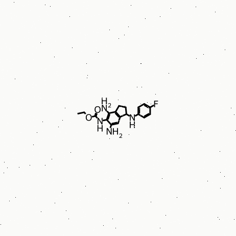 CCOC(=O)Nc1c(N)cc2c(c1N)CCC2Nc1ccc(F)cc1